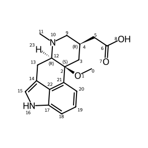 CO[C@]12C[C@H](CC(=O)O)CN(C)[C@@H]1Cc1c[nH]c3cccc2c13